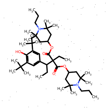 CCCN1C(C)(C)CC(OC(=O)C(CC)(C(=O)OC2CC(C)(C)N(CCC)C(C)(C)C2)C(CC)c2cc(C(C)(C)C)c(O)c(C(C)(C)C)c2)CC1(C)C